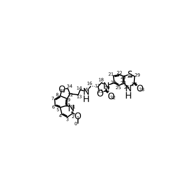 COc1ccc2ccc3c(c2n1)C(CCNC[C@@H]1CN(c2ccc4c(c2)NC(=O)CS4)C(=O)O1)CO3